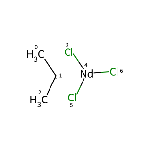 C[CH]C.[Cl][Nd]([Cl])[Cl]